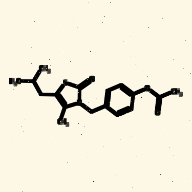 CC(=O)Oc1ccc(Cn2c(C)c(CC(C)C)sc2=O)cc1